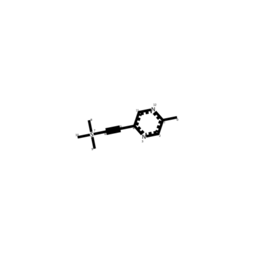 Cc1cnc(C#CS(C)(C)C)cn1